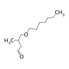 CCCCCCCOCC(C)CC=O